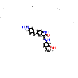 COc1ccc(NC=C2C(=O)Nc3ccc(Cc4ccc(N)cc4)cc32)cc1O